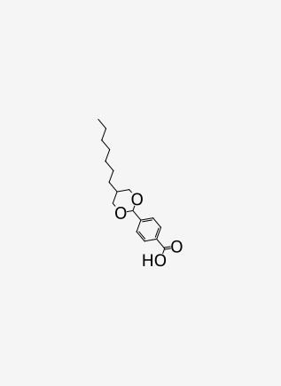 CCCCCCCC1COC(c2ccc(C(=O)O)cc2)OC1